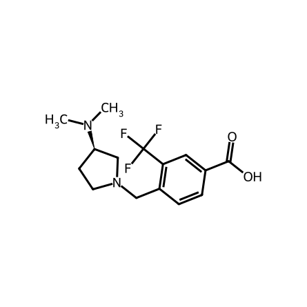 CN(C)[C@@H]1CCN(Cc2ccc(C(=O)O)cc2C(F)(F)F)C1